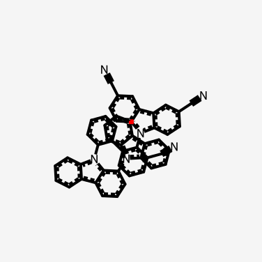 N#Cc1ccc2c(c1)c1cc(C#N)ccc1n2-c1c(C#N)cccc1-c1ccccc1-n1c2ccccc2c2cccc(-n3c4ccccc4c4ccccc43)c21